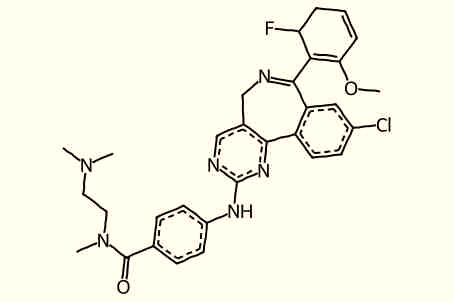 COC1=C(C2=NCc3cnc(Nc4ccc(C(=O)N(C)CCN(C)C)cc4)nc3-c3ccc(Cl)cc32)C(F)CC=C1